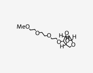 COCCOCCOCCO[C@H]1[C@@H]2O[C@H]2[C@@H]2OC[C@H]1O2